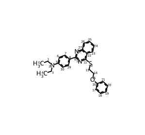 CCN(CC)c1ccc(-c2nc(SCCOc3ccccc3)c3ccccc3n2)cc1